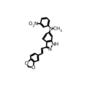 CN(c1cccc([N+](=O)[O-])c1)c1ccc2c(C=Cc3ccc4c(c3)OCO4)n[nH]c2c1